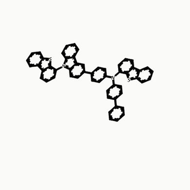 c1ccc(-c2ccc(N(c3ccc(-c4ccc5c(c4)c4ccccc4n5-c4cccc5c4sc4ccccc45)cc3)c3cccc4c3sc3ccccc34)cc2)cc1